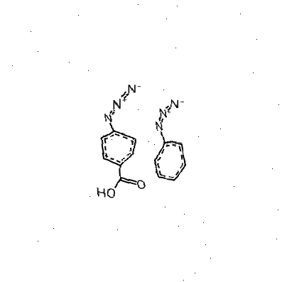 [N-]=[N+]=Nc1ccc(C(=O)O)cc1.[N-]=[N+]=Nc1ccccc1